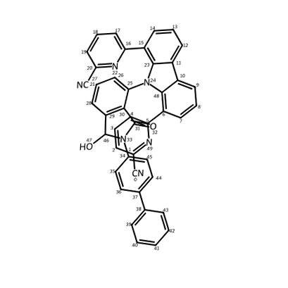 N#Cc1cccc(-c2cccc3c4cccc(-c5cccc(C#N)n5)c4n(-c4cccc5c4C(=O)N(c4ccc(-c6ccccc6)cc4)C5O)c23)n1